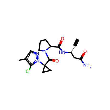 C#C[C@H](CC(N)=O)NC(=O)C1CCCN1C(=O)C1(n2ncc(C)c2Cl)CC1